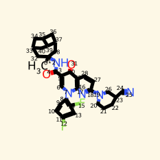 CC1(NC(=O)c2cn(-c3ccc(F)cc3F)c3nc(N4CCCC(C#N)C4)ccc3c2=O)CC2CC3CC(C1)C3C2